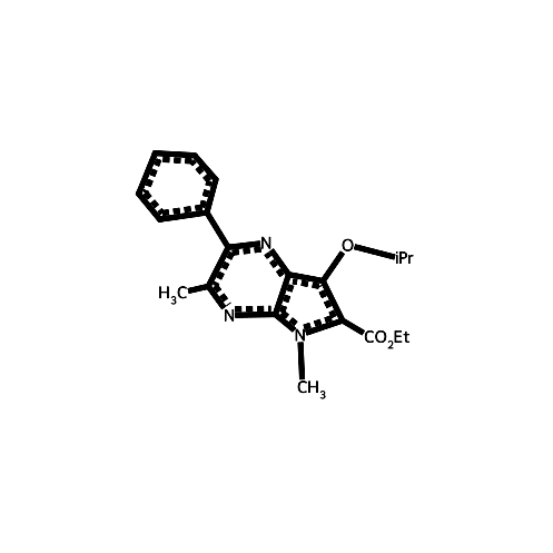 CCOC(=O)c1c(OC(C)C)c2nc(-c3ccccc3)c(C)nc2n1C